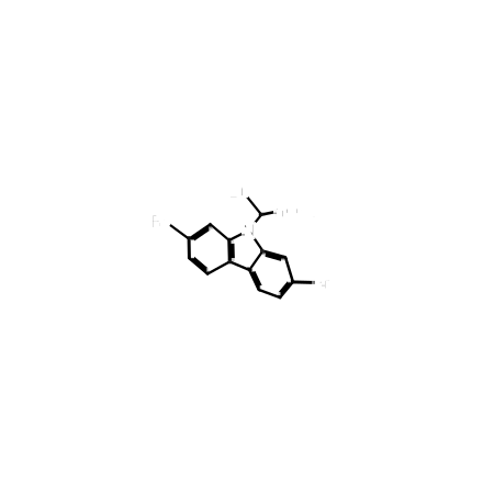 CCCCCCCCC(CC)n1c2cc(Br)ccc2c2ccc(Br)cc21